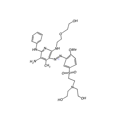 COc1ccc(S(=O)(=O)CCN(CCO)CCO)cc1/N=N/c1c(NCCOCCO)nc(Nc2ccccc2)c(N)c1C